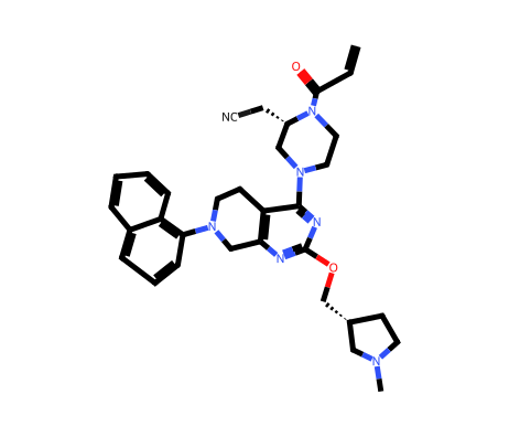 C=CC(=O)N1CCN(c2nc(OC[C@@H]3CCN(C)C3)nc3c2CCN(c2c[c]cc4ccccc24)C3)C[C@@H]1CC#N